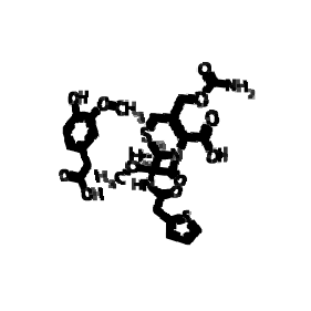 CO[C@@]1(NC(=O)Cc2cccs2)C(=O)N2C(C(=O)O)=C(COC(N)=O)CS[C@@H]21.COc1cc(CC(=O)O)ccc1O